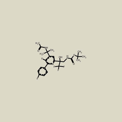 CC(=O)NC(C)(C)c1cc(C(O)(CNC(=O)OC(C)(C)C)C(F)(F)F)nc(-c2ccc(F)cc2)c1F